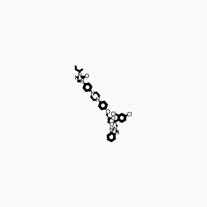 CCC(C)n1ncn(-c2ccc(N3CCN(c4ccc(OC[C@@H]5CO[C@](Cn6nc7ccccc7n6)(c6ccc(Cl)cc6Cl)O5)cc4)CC3)cc2)c1=O